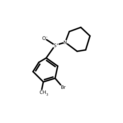 Cc1ccc([S+]([O-])N2CCCCC2)cc1Br